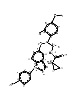 COc1ccc([C@H](Oc2ccc3c(cnn3-c3ccc(F)cc3)c2)[C@H](C)NC(=O)C2(C)CC2)c(C)c1